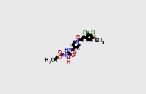 CCCOC(=O)NC[C@H](NC(=O)C1CCN(C(=O)C=Cc2ccc(SC)c(Cl)c2Cl)CC1)C(=O)O